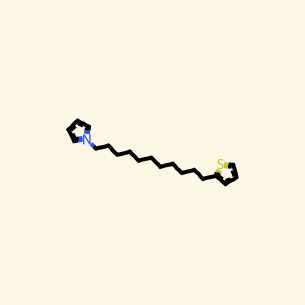 c1csc(CCCCCCCCCCCn2cccc2)c1